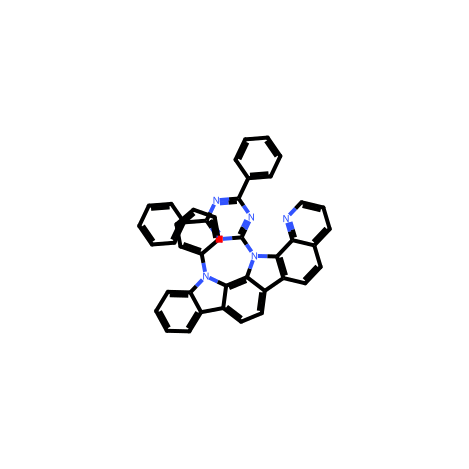 c1ccc(-c2nc(-c3ccccc3)nc(-n3c4c(ccc5cccnc54)c4ccc5c6ccccc6n(-c6ccccc6)c5c43)n2)cc1